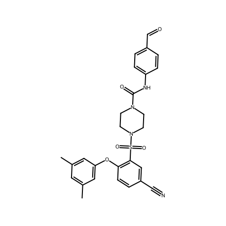 Cc1cc(C)cc(Oc2ccc(C#N)cc2S(=O)(=O)N2CCN(C(=O)Nc3ccc(C=O)cc3)CC2)c1